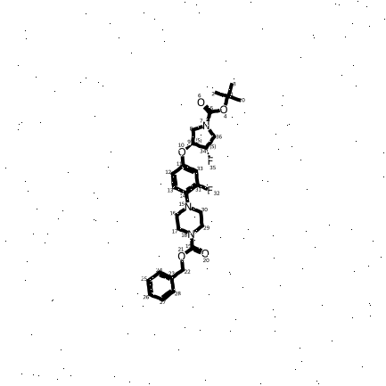 CC(C)(C)OC(=O)N1C[C@H](Oc2ccc(N3CCN(C(=O)OCc4ccccc4)CC3)c(F)c2)[C@@H](F)C1